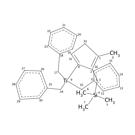 CC1=C(C[Si](C)(C)C)[C]([Ti]([CH2]c2ccccc2)([CH2]c2ccccc2)[CH2]c2ccccc2)=CC1